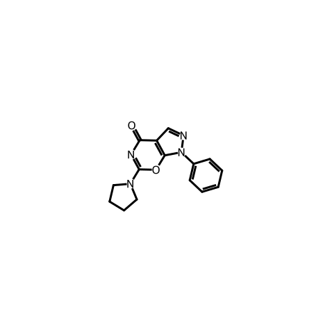 O=c1nc(N2CCCC2)oc2c1cnn2-c1ccccc1